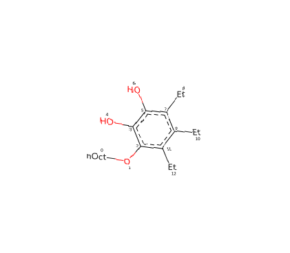 CCCCCCCCOc1c(O)c(O)c(CC)c(CC)c1CC